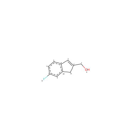 OCC1=Cc2ccc(F)cc2C1